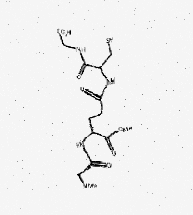 CNCC(=O)NC(CCC(=O)NC(CS)C(=O)NCC(=O)O)C(=O)OC